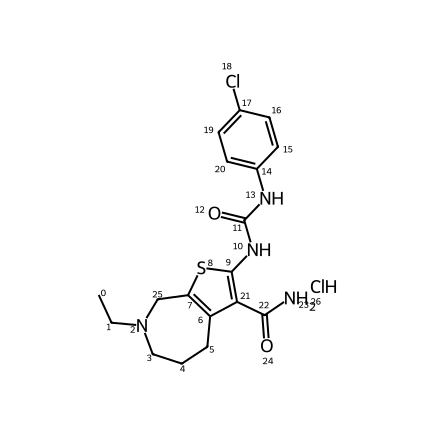 CCN1CCCc2c(sc(NC(=O)Nc3ccc(Cl)cc3)c2C(N)=O)C1.Cl